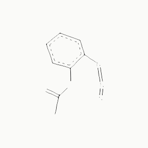 CC(=O)Oc1ccccc1N=[N+]=[N-]